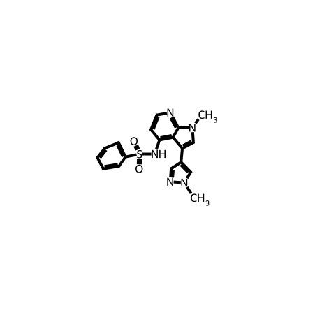 Cn1cc(-c2cn(C)c3nccc(NS(=O)(=O)c4ccccc4)c23)cn1